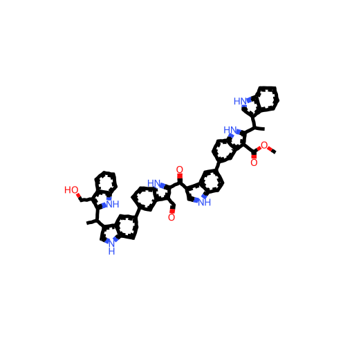 COC(=O)c1c(C(C)c2c[nH]c3ccccc23)[nH]c2ccc(-c3ccc4[nH]cc(C(=O)c5[nH]c6ccc(-c7ccc8[nH]cc(C(C)c9[nH]c%10ccccc%10c9CO)c8c7)cc6c5C=O)c4c3)cc12